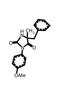 COc1ccc(N2C(=O)NC(C)(Cc3ccccc3)C2=O)cc1